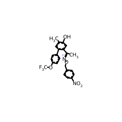 C/C(=N\OCc1ccc([N+](=O)[O-])cc1)c1cc(O)c(C)cc1-c1ccc(OC(F)(F)F)cc1